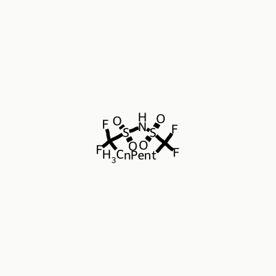 CCCCCC(F)(F)S(=O)(=O)NS(=O)(=O)C(C)(F)F